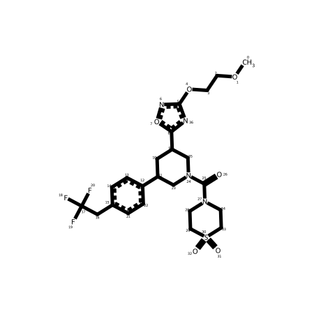 COCCOc1noc(C2CC(c3ccc(CC(F)(F)F)cc3)CN(C(=O)N3CCS(=O)(=O)CC3)C2)n1